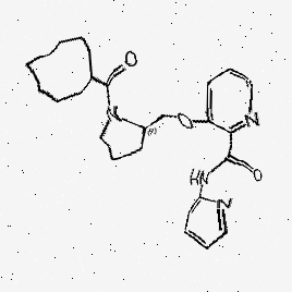 O=C(Nc1ccccn1)c1ncccc1OC[C@H]1CCCN1C(=O)C1CCCCC1